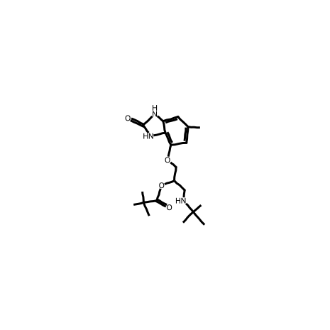 Cc1cc(OCC(CNC(C)(C)C)OC(=O)C(C)(C)C)c2[nH]c(=O)[nH]c2c1